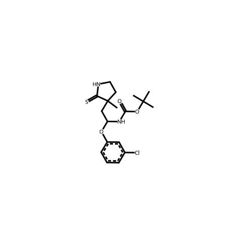 CC(C)(C)OC(=O)NC(CC1(C)CCNC1=S)Oc1cccc(Cl)c1